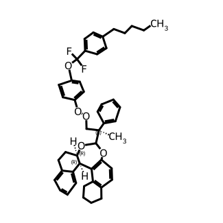 CCCCCc1ccc(C(F)(F)Oc2ccc(OOC[C@@](C)(c3ccccc3)C3Oc4ccc5c(c4[C@H]4c6ccccc6CC[C@H]4O3)CCCC5)cc2)cc1